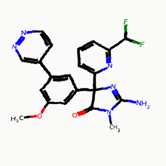 COc1cc(-c2ccnnc2)cc(C2(c3cccc(C(F)F)n3)N=C(N)N(C)C2=O)c1